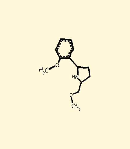 COCC1CCC(c2ccccc2OC)N1